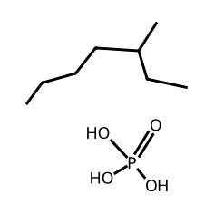 CCCCC(C)CC.O=P(O)(O)O